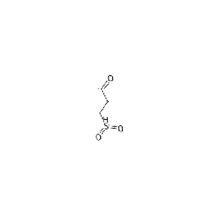 O=[C]CC[SH](=O)=O